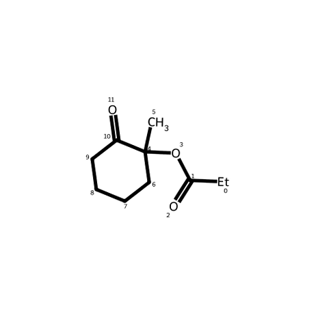 CCC(=O)OC1(C)CCCCC1=O